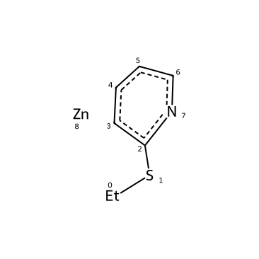 CCSc1ccccn1.[Zn]